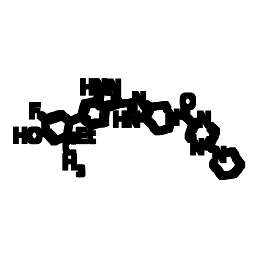 CCC1(C)C=C(O)C(F)=CC1c1ccc2c(-c3nc4c([nH]3)CCN(C(=O)c3cnc(N5CCCCC5)cn3)C4)n[nH]c2c1